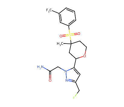 CC1(S(=O)(=O)c2cccc(C(F)(F)F)c2)CCOC(c2cc(CF)nn2CC(N)=O)C1